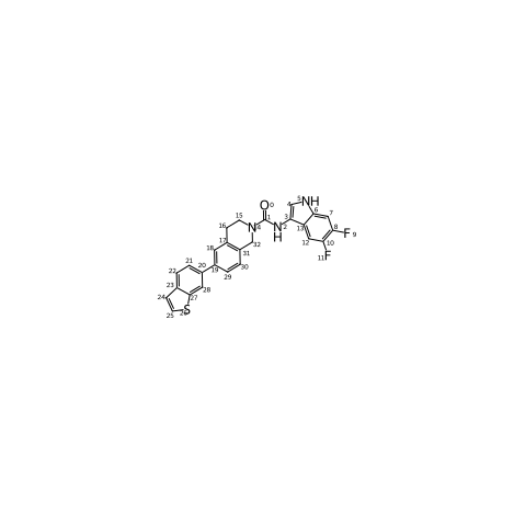 O=C(Nc1c[nH]c2cc(F)c(F)cc12)N1CCc2cc(-c3ccc4ccsc4c3)ccc2C1